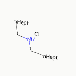 CCCCCCCCNCCCCCCCC.[C]